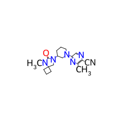 Cc1nc(N2CCCC(N3CC4(CCC4)N(C)C3=O)C2)cnc1C#N